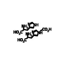 CC(=O)O.NC(Cc1c[nH]cn1)C(=O)O.NC(Cc1c[nH]cn1)C(=O)O